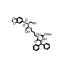 COC(=O)N[C@H](C(=O)NCCCC[C@@H](CO)N(CC(C)C)S(=O)(=O)c1ccc2c(c1)OCO2)C(c1ccccc1)c1ccccc1